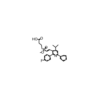 CO[P@](=O)(C=Cc1c(C(C)C)cc(-c2ccccc2)nc1-c1ccc(F)cc1)CCCC(=O)O